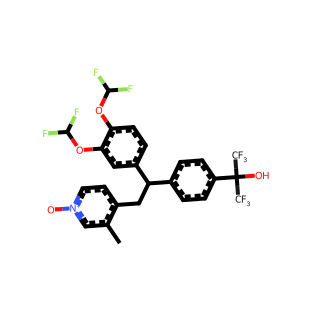 Cc1c[n+]([O-])ccc1CC(c1ccc(C(O)(C(F)(F)F)C(F)(F)F)cc1)c1ccc(OC(F)F)c(OC(F)F)c1